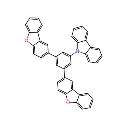 c1ccc2c(c1)oc1ccc(-c3cc(-c4ccc5oc6ccccc6c5c4)cc(-n4c5ccccc5c5ccccc54)c3)cc12